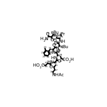 CCCCC(NC(=O)[C@H](CC(C)C)NC(=O)[C@@H](NC(=O)[C@H](Cc1ccccc1C)NC(=O)[C@H](CCC(=O)O)NC(=O)[C@H](CCCCNC(C)=O)NC(=O)CCC(=O)O)C(C)(C)C)C(=O)C(N)=O